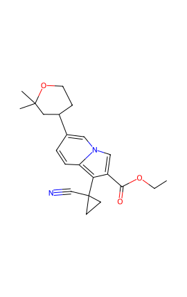 CCOC(=O)c1cn2cc(C3CCOC(C)(C)C3)ccc2c1C1(C#N)CC1